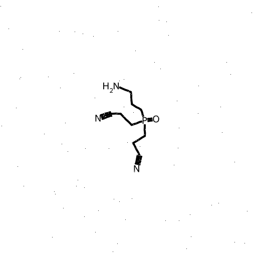 N#CCCP(=O)(CCC#N)CCCN